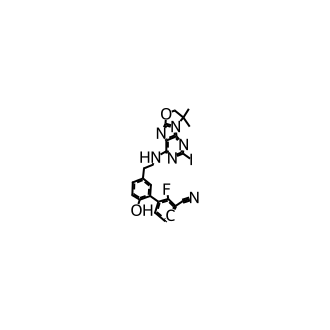 CC1(C)COc2nc3c(NCCc4ccc(O)c(-c5cccc(C#N)c5F)c4)nc(I)nc3n21